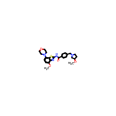 COc1ccc(N2CCOCC2)c2sc(NC(=O)c3ccc(CN4CCC(OC)C4)cc3)nc12